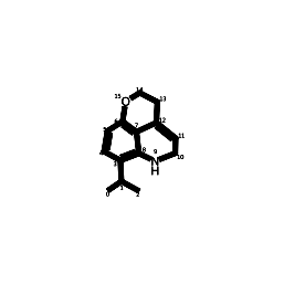 CC(C)c1ccc2c3c1NCC=C3CCO2